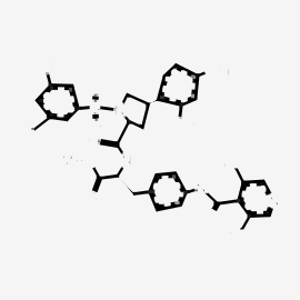 COC(=O)[C@H](Cc1ccc(NC(=O)c2c(Cl)cncc2Cl)cc1)NC(=O)C1C[C@H](c2ccc(C(C)(C)C)cc2C(=O)O)CN1S(=O)(=O)c1cc(Cl)cc(Cl)c1